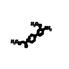 COCC(=O)N1CCN(c2ccc(N)c(OC)c2)CC1